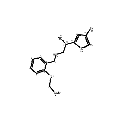 COCOc1ccccc1CNC[C@@H](O)c1cc(Br)cs1